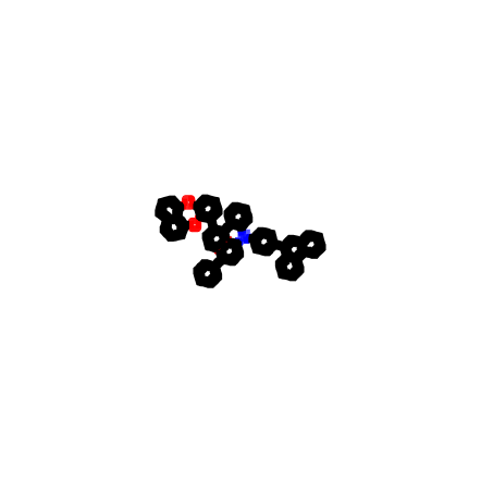 c1ccc(-c2ccc(N(c3ccc(-c4cc5ccccc5c5ccccc45)cc3)c3ccccc3-c3ccccc3-c3cccc4c3Oc3cccc5cccc(c35)O4)cc2)cc1